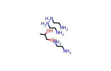 CC(O)CO.NCCN.NCCN.NCCN